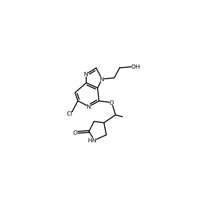 CC(Oc1nc(Cl)cc2ncn(CCO)c12)C1CNC(=O)C1